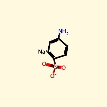 Nc1ccc(S(=O)(=O)[O-])cc1.[Na+]